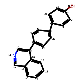 Brc1ccc(-c2ccc(-c3cncc4ccccc34)cc2)cc1